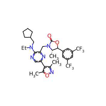 CCN(CC1CCCC1)c1ncc(-c2c(C)noc2C)nc1CN1C(=O)OC(c2cc(C(F)(F)F)cc(C(F)(F)F)c2)[C@@H]1C